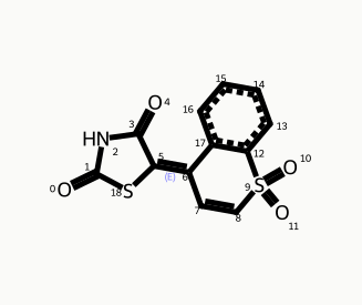 O=C1NC(=O)/C(=C2/C=CS(=O)(=O)c3ccccc32)S1